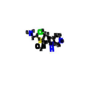 CN(C)CCSc1c(Cl)cc2c([nH]c3cnccc32)c1[N+](=O)[O-]